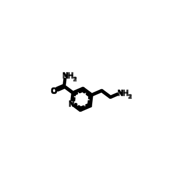 NCCc1ccnc(C(N)=O)c1